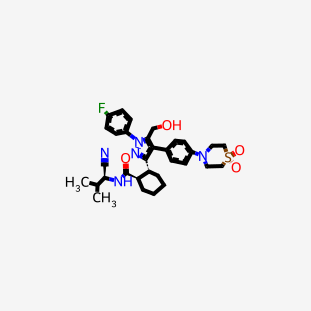 CC(C)[C@@H](C#N)NC(=O)[C@@H]1CCCC[C@H]1c1nn(-c2ccc(F)cc2)c(CO)c1-c1ccc(N2CCS(=O)(=O)CC2)cc1